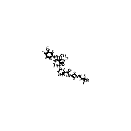 Cc1nsc(Nc2cncc(C(=O)NC3CN(CCC(F)(F)F)C3)n2)c1C(=O)Nc1ccc(F)c(F)c1